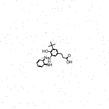 CC(C)(C)c1cc(CCC(=O)O)cc(N/N=C2/C=CC=CC2=N)c1O